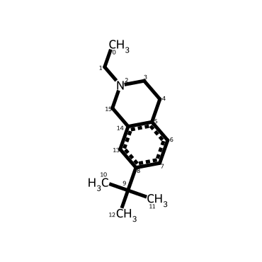 CCN1CCc2ccc(C(C)(C)C)cc2C1